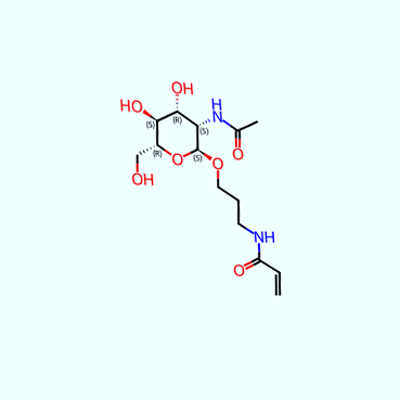 C=CC(=O)NCCCO[C@H]1O[C@H](CO)[C@@H](O)[C@H](O)[C@@H]1NC(C)=O